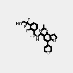 Cc1nc(N[C@H](C)c2cccc(C(F)(F)CO)c2F)c2cc(C3=CCOCC3)c3c(c2n1)CCO3